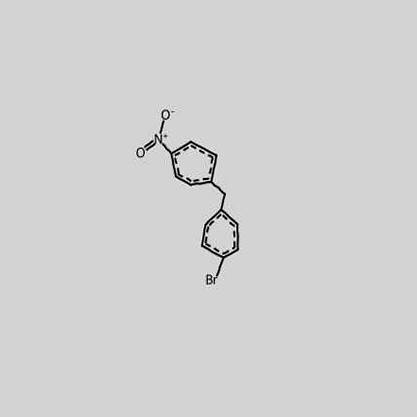 O=[N+]([O-])c1ccc(Cc2ccc(Br)cc2)cc1